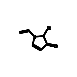 C=CN1C=CC(=O)C1CC